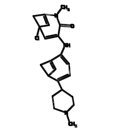 CN1CCC(C2=CC=C(NC3=CC4(Cl)C=C(C4)N(C)C3=O)C3=CC2C3)CC1